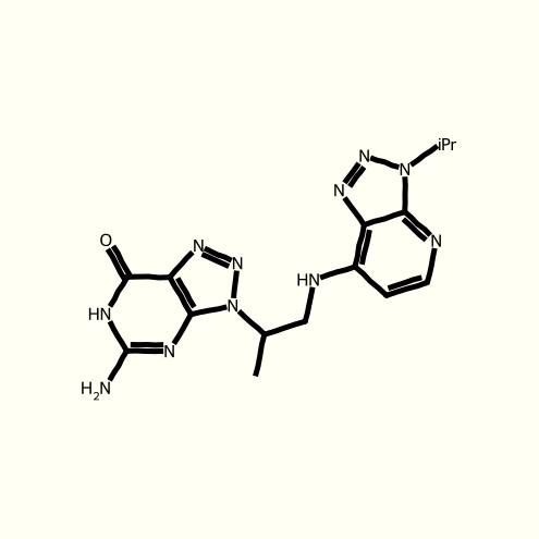 CC(C)n1nnc2c(NCC(C)n3nnc4c(=O)[nH]c(N)nc43)ccnc21